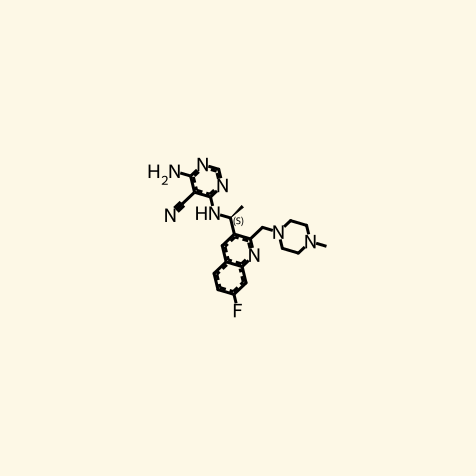 C[C@H](Nc1ncnc(N)c1C#N)c1cc2ccc(F)cc2nc1CN1CCN(C)CC1